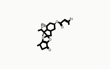 CC/C(C)=C/C(=O)O[C@H]1CC2CC3(OC4=C(O3)C(C)CC4=O)[C@](C)([C@H](C)OC(C)=O)C2[C@H](C(C)C)C1